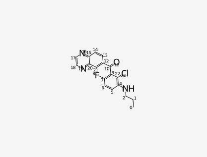 CCCNc1ccc(F)c(C(=O)c2ccc3nccnc3c2)c1Cl